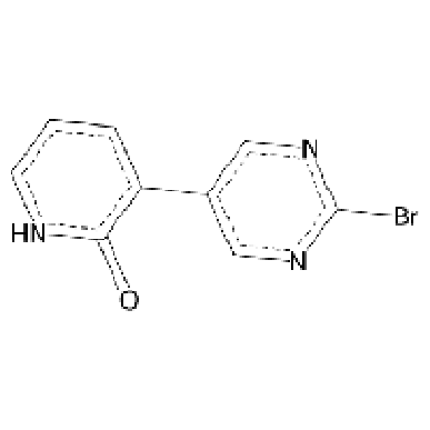 O=c1[nH]cccc1-c1cnc(Br)nc1